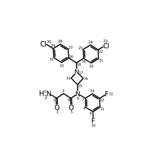 NC(=O)CC(=O)N(c1cc(F)cc(F)c1)C1CN(C(c2ccc(Cl)cc2)c2ccc(Cl)cc2)C1